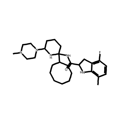 Cc1ccc(F)c2c1NC(C(=O)NC1(C3CCCCCCC3)CCCC(N3CCN(C)CC3)N1)C2